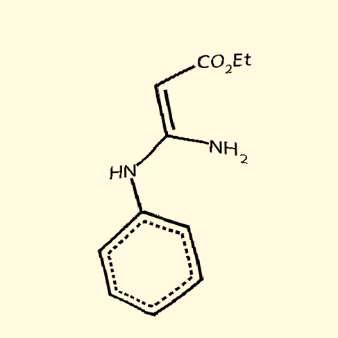 CCOC(=O)C=C(N)Nc1ccccc1